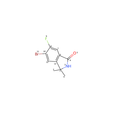 CC1(C)NC(=O)c2cc(F)c(Br)cc21